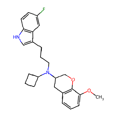 COc1cccc2c1OCC(N(CCCc1c[nH]c3ccc(F)cc13)C1CCC1)C2